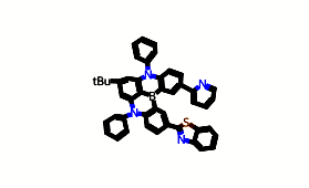 CC(C)(C)c1cc2c3c(c1)N(c1ccccc1)c1ccc(-c4nc5ccccc5s4)cc1B3c1cc(-c3ccccn3)ccc1N2c1ccccc1